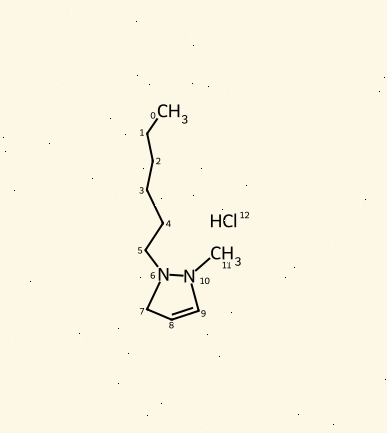 CCCCCCN1CC=CN1C.Cl